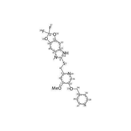 COc1cc(CSc2nc3cc4c(cc3[nH]2)OC(F)(F)O4)ncc1OCc1ccccc1